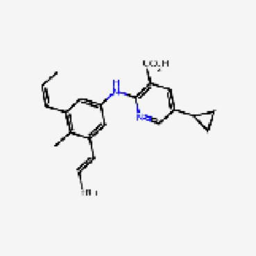 C/C=C\c1cc(Nc2ncc(C3CC3)cc2C(=O)O)cc(/C=C/C(C)(C)C)c1C